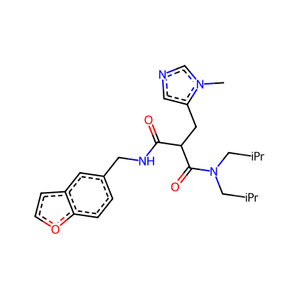 CC(C)CN(CC(C)C)C(=O)C(Cc1cncn1C)C(=O)NCc1ccc2occc2c1